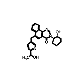 CC(O)c1ccc(Cc2cc3c(=O)n([C@H]4CCCC[C@@H]4O)cnc3c3ccccc23)cn1